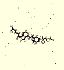 CCOCC(=O)O[C@H]1CCC(C)(C)/C(=C\C=C2/CCC[C@@]3(C)C2CC[C@@H]3[C@H](C)CCCC(C)C)C1